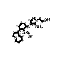 CC(C)(C)C1=C(C2=CC[n+]3ccccc32)C=CCC1=Nc1cnn(CCO)c1N.[Br-]